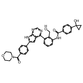 O=C(Nc1cccc(-c2ncnc3[nH]c(-c4ccc(C(=O)N5CCOCC5)cc4)cc23)c1CO)c1ccc(C2(O)CC2)cc1